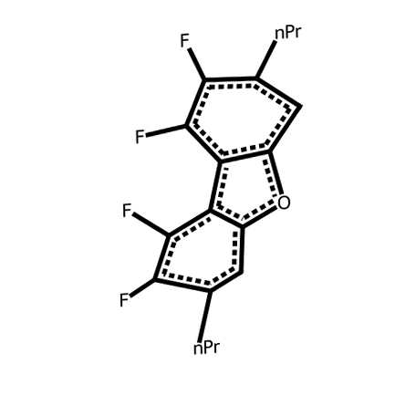 CCCc1cc2oc3cc(CCC)c(F)c(F)c3c2c(F)c1F